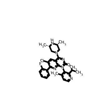 Cc1ccnc(C(C)C)c1-n1c(=O)nc(N2C[C@@H](C)N[C@@H](C)C2)c2cc(Cl)c(-c3ccccc3F)nc21